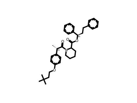 C[C@H](C(=O)N1CCCCC1C(=O)O[C@H](CCc1ccccc1)c1ccccc1)c1ccc(OCCC(C)(C)C)cc1